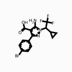 Nc1c(C(=O)O)c(-c2ccc(Br)cc2)nn1C(C1CC1)C(F)(F)F